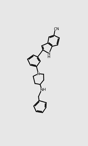 N#Cc1ccc2[nH]c(-c3cccc(N4CCC(NCc5ccccc5)CC4)c3)cc2c1